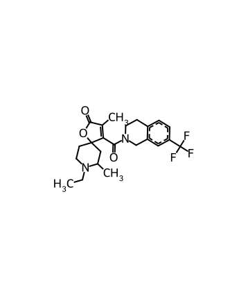 CCN1CCC2(CC1C)OC(=O)C(C)=C2C(=O)N1CCc2ccc(C(F)(F)F)cc2C1